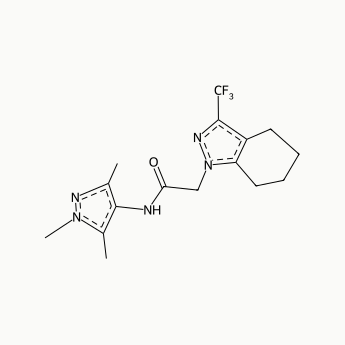 Cc1nn(C)c(C)c1NC(=O)Cn1nc(C(F)(F)F)c2c1CCCC2